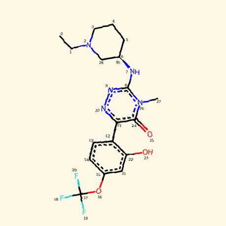 CCN1CCC[C@@H](Nc2nnc(-c3ccc(OC(F)(F)F)cc3O)c(=O)n2C)C1